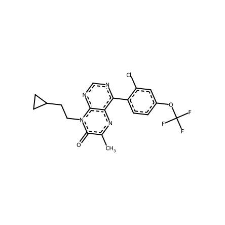 Cc1nc2c(-c3ccc(OC(F)(F)F)cc3Cl)ncnc2n(CCC2CC2)c1=O